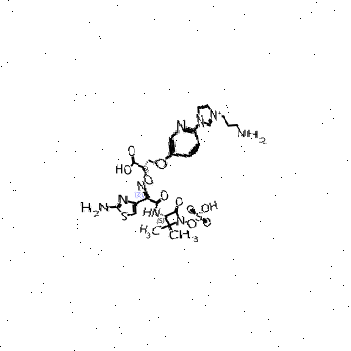 CC1(C)[C@H](NC(=O)/C(=N\O[C@@H](COc2ccc(-n3cc[n+](CCCN)c3)nc2)C(=O)O)c2csc(N)n2)C(=O)N1OS(=O)(=O)O